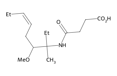 CC/C=C\CC(OC)C(C)(CC)NC(=O)CCC(=O)O